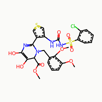 COC(=O)C1C(O)=C(O)N=C(c2cscc2NC(=O)NS(=O)(=O)c2ccccc2Cl)N1Cc1cccc(OC)c1OC